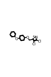 Clc1nsc(COc2ccc(Oc3ccccc3)cc2)c1Cl